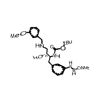 COBNc1cccc(CC(NC(=O)OC(C)(C)C)[C@H](O)CNCc2cccc(OC)c2)c1